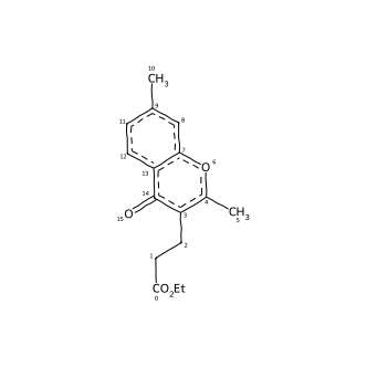 CCOC(=O)CCc1c(C)oc2cc(C)ccc2c1=O